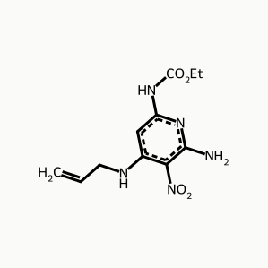 C=CCNc1cc(NC(=O)OCC)nc(N)c1[N+](=O)[O-]